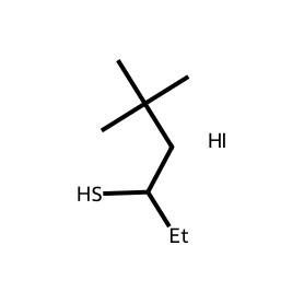 CCC(S)CC(C)(C)C.I